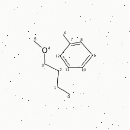 CCCCOC.Cc1ccccc1